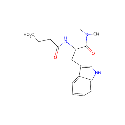 CN(C#N)C(=O)C(Cc1c[nH]c2ccccc12)NC(=O)CCC(=O)O